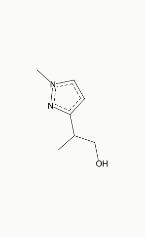 CC(CO)c1ccn(C)n1